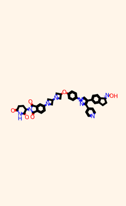 O=C1CCC(N2C(=O)c3ccc(N4CC(N5CC(Oc6ccc(-n7cc(-c8ccc9c(c8)CC/C9=N\O)c(-c8ccncc8)n7)cc6)C5)C4)cc3C2=O)C(=O)N1